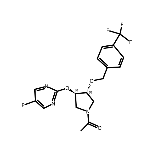 CC(=O)N1C[C@@H](OCc2ccc(C(F)(F)F)cc2)[C@H](Oc2ncc(F)cn2)C1